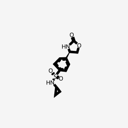 O=C1N[C@H](c2ccc(S(=O)(=O)NC3CC3)cc2)CO1